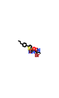 CCCc1ccc(-c2ccc(S(=O)(=O)Nc3onc(C)c3Br)s2)cc1